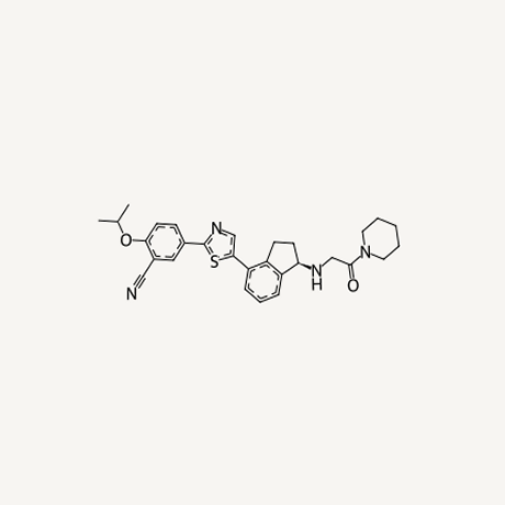 CC(C)Oc1ccc(-c2ncc(-c3cccc4c3CC[C@H]4NCC(=O)N3CCCCC3)s2)cc1C#N